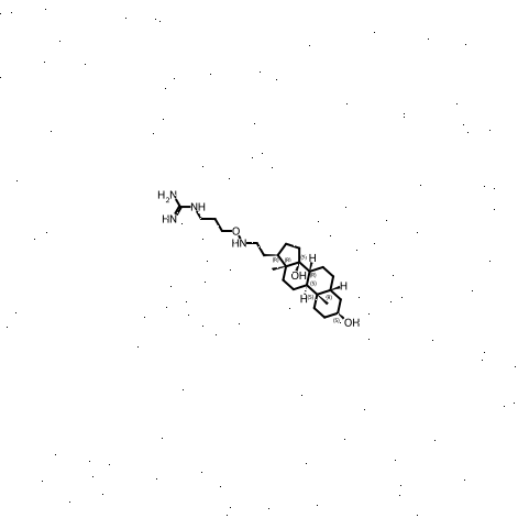 C[C@]12CC[C@H](O)C[C@H]1CC[C@@H]1[C@@H]2CC[C@]2(C)[C@@H](CCNOCCCNC(=N)N)CC[C@]12O